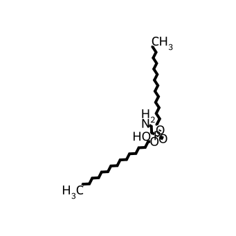 CCCCCCCCCCCCCCCCOP(=O)(OCCCCCCCCCCCCCCCC)C(O)CN